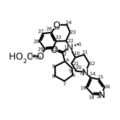 C[N+](C(=O)C1CCCCC1)(C1CCN(c2ccncc2)CC1)C1CCOc2ccc(OC(=O)O)cc21